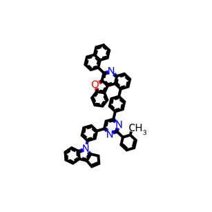 CC1C=CC=CC1c1nc(-c2ccc(-c3cccc4nc(-c5cccc6ccccc56)c5oc6ccccc6c5c34)cc2)cc(-c2cccc(-n3c4c(c5ccccc53)C=CC4)c2)n1